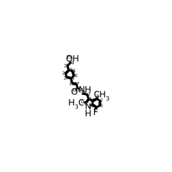 Cc1[nH]c2c(F)ccc(C)c2c1CCNC(=O)C=Cc1ccc(CCO)cc1